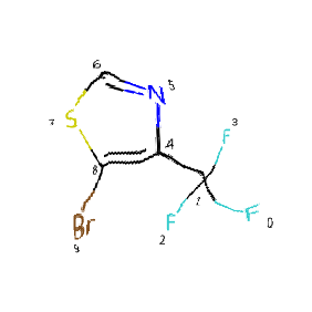 FC(F)(F)c1n[c]sc1Br